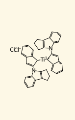 C1=C(n2c3c(c4ccccc42)CCC3)[CH]([Ti+2][CH]2C(n3c4c(c5ccccc53)CCC4)=Cc3ccccc32)c2ccccc21.[Cl-].[Cl-]